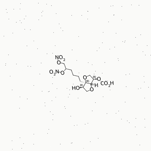 O=C(O)O[C@@H]1CO[C@]2(CCCCC(CO[N+](=O)[O-])O[N+](=O)[O-])[C@H](O)CO[C@H]12